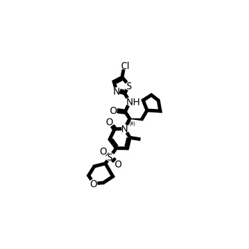 Cc1cc(S(=O)(=O)C2CCOCC2)cc(=O)n1[C@H](CC1CCCC1)C(=O)Nc1ncc(Cl)s1